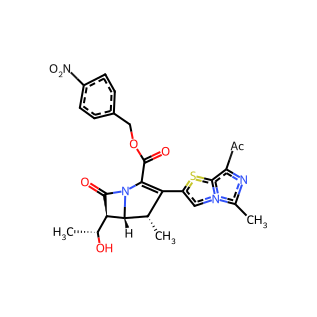 CC(=O)c1nc(C)n2cc(C3=C(C(=O)OCc4ccc([N+](=O)[O-])cc4)N4C(=O)[C@H]([C@@H](C)O)[C@H]4[C@H]3C)sc12